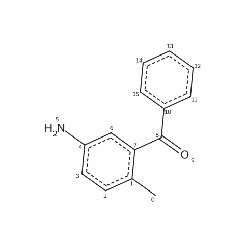 Cc1ccc(N)cc1C(=O)c1ccccc1